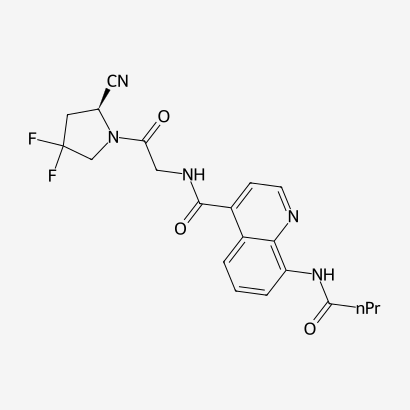 CCCC(=O)Nc1cccc2c(C(=O)NCC(=O)N3CC(F)(F)C[C@H]3C#N)ccnc12